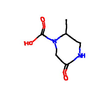 CC1CNC(=O)CN1C(=O)O